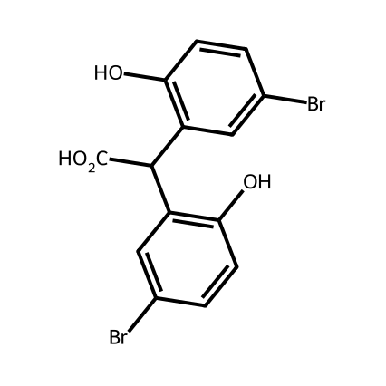 O=C(O)C(c1cc(Br)ccc1O)c1cc(Br)ccc1O